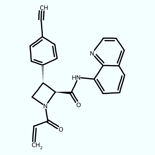 C#Cc1ccc([C@H]2CN(C(=O)C=C)[C@@H]2C(=O)Nc2cccc3cccnc23)cc1